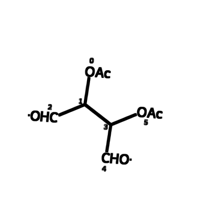 CC(=O)OC([C]=O)C([C]=O)OC(C)=O